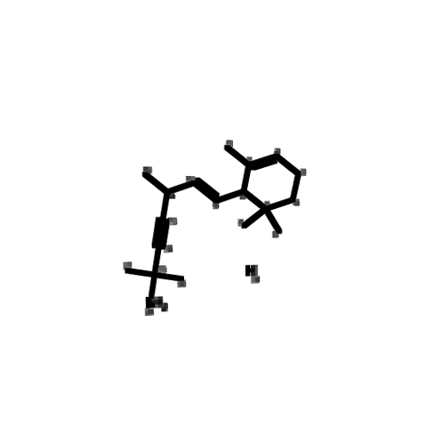 CC1=CCCC(C)(C)C1C=CC(C)C#CC(C)(C)N.I